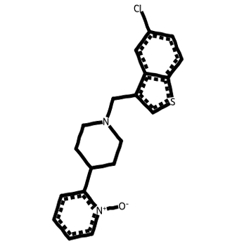 [O-][n+]1ccccc1C1CCN(Cc2csc3ccc(Cl)cc23)CC1